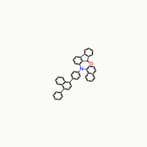 O=C1c2ccccc2-c2cccc(N(c3ccc(-c4ccc(-c5ccccc5)c5ccccc45)cc3)c3cccc4ccccc34)c21